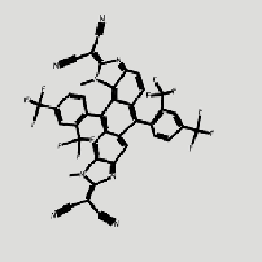 Cn1c(=C(C#N)C#N)nc2cc3c(-c4ccc(C(F)(F)F)cc4C(F)(F)F)c4ccc5nc(=C(C#N)C#N)n(C)c5c4c(-c4ccc(C(F)(F)F)cc4C(F)(F)F)c3cc21